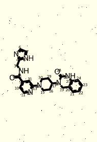 O=C(NCc1ncc[nH]1)c1ccnc(N2CCC(N3Cc4ccccc4NC3=O)CC2)c1